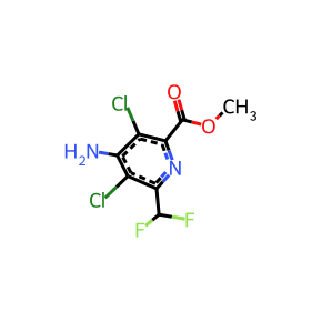 COC(=O)c1nc(C(F)F)c(Cl)c(N)c1Cl